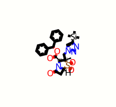 C[C@]1(Cn2cc([Si](C)(C)C)nn2)[C@H](C(=O)OC(c2ccccc2)c2ccccc2)N2C(=O)C[C@@H]2S1(=O)=O